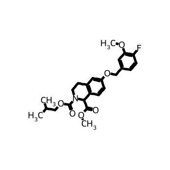 COC(=O)C1c2ccc(OCc3ccc(F)c(OC)c3)cc2CCN1C(=O)OCC(C)C